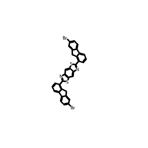 Brc1ccc2c(c1)Cc1c(-c3nc4cc5sc(-c6cccc7c6Cc6cc(Br)ccc6-7)nc5cc4s3)cccc1-2